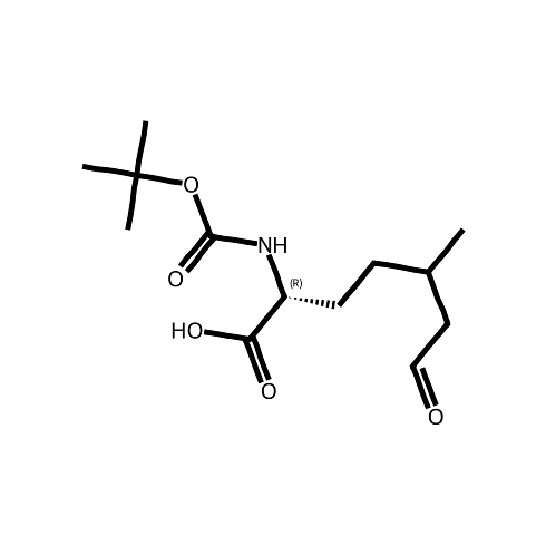 CC(CC=O)CC[C@@H](NC(=O)OC(C)(C)C)C(=O)O